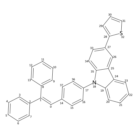 C(=C(c1ccccc1)c1ccccc1)c1ccc(-n2c3ccccc3c3cc(-c4cccs4)ccc32)cc1